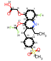 CCc1nc2c(F)ccc(OCC(=O)O)c2c(OC(F)F)c1Cc1ccc(S(C)(=O)=O)cc1